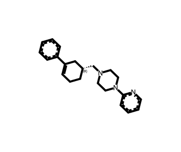 C1=C(c2ccccc2)C[C@H](CN2CCN(c3ccccn3)CC2)CC1